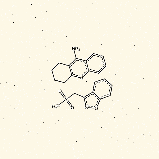 NS(=O)(=O)Cc1noc2ccccc12.Nc1c2c(nc3ccccc13)CCCC2